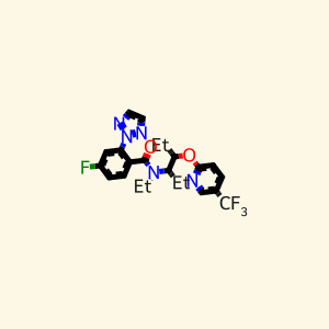 CCC(Oc1ccc(C(F)(F)F)cn1)C(CC)N(CC)C(=O)c1ccc(F)cc1-n1nccn1